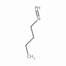 CCCCN=P